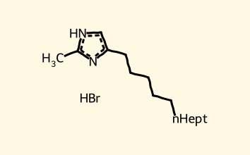 Br.CCCCCCCCCCCCc1c[nH]c(C)n1